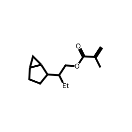 C=C(C)C(=O)OCC(CC)C1CCC2CC21